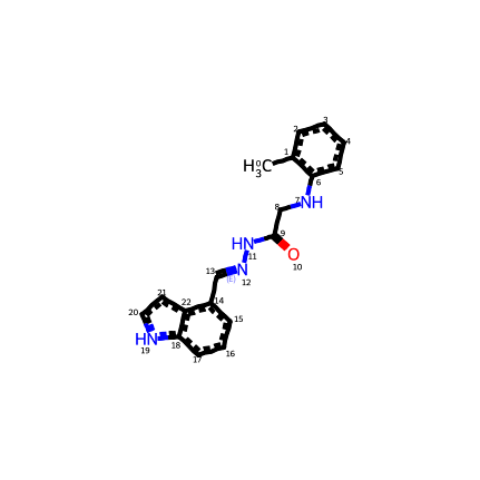 Cc1ccccc1NCC(=O)N/N=C/c1cccc2[nH]ccc12